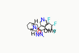 COc1ccncc1C(=O)N1[C@H]2CCC[C@@H]1c1nn(C)c(-c3cc(F)c(F)c(F)c3)c1C2